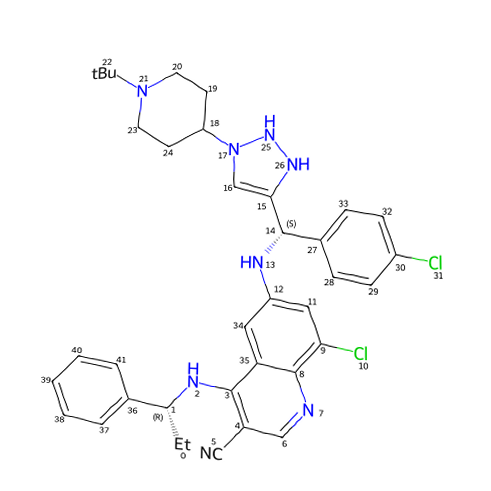 CC[C@@H](Nc1c(C#N)cnc2c(Cl)cc(N[C@H](C3=CN(C4CCN(C(C)(C)C)CC4)NN3)c3ccc(Cl)cc3)cc12)c1ccccc1